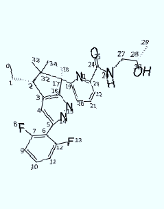 CC[C@H]1c2cc(-c3c(F)cccc3F)nnc2[C@](C)(c2cccc(C(=O)NC[C@H](C)O)n2)C1(C)C